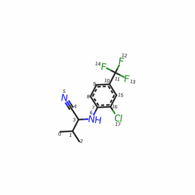 CC(C)C(C#N)Nc1ccc(C(F)(F)F)cc1Cl